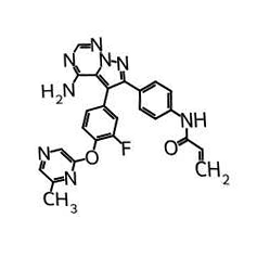 C=CC(=O)Nc1ccc(-c2nn3ncnc(N)c3c2-c2ccc(Oc3cncc(C)n3)c(F)c2)cc1